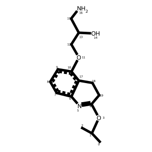 CC(C)OC1=Nc2cccc(OCC(O)CN)c2CC1